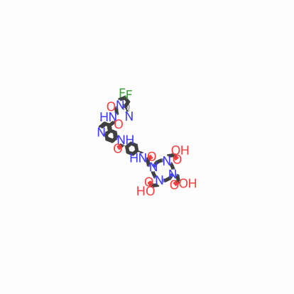 N#C[C@@H]1CC(F)(F)CN1C(=O)CNC(=O)c1ccnc2ccc(NC(=O)[C@H]3CC[C@H](CNC(=O)CN4CCN(CC(=O)O)CCN(CC(=O)O)CCN(CC(=O)O)CC4)CC3)cc12